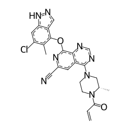 C=CC(=O)N1CCN(c2ncnc3c(Oc4c(C)c(Cl)cc5[nH]ncc45)nc(C#N)cc23)C[C@@H]1C